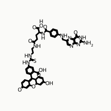 Nc1nc2ncc(CNc3ccc(C(=O)NC(CCC(=O)NCCNC(=S)Nc4ccc(C5=C6C=CC(=O)C=C6OC6C=C(O)C=CC56)c(C(=O)O)c4)C(=O)O)cc3)nc2c(=O)[nH]1